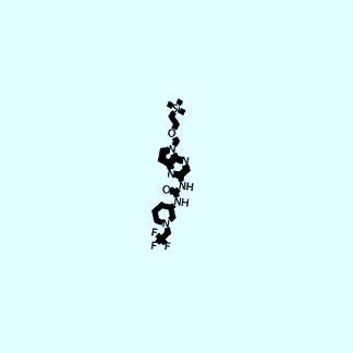 C[Si](C)(C)CCOCn1ccc2nc(NC(=O)NC3CCCN(CC(F)(F)F)C3)cnc21